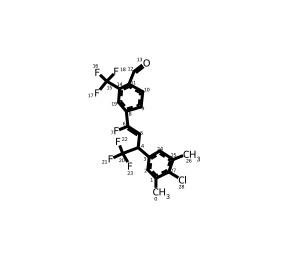 Cc1cc(C(/C=C(\F)c2ccc(C=O)c(C(F)(F)F)c2)C(F)(F)F)cc(C)c1Cl